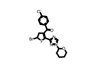 O=C(C1=C(c2ncn(C3CCCCO3)n2)SC(Br)C1)c1ccc(Cl)cc1